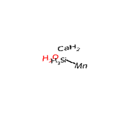 O.[CaH2].[SiH3][Mn]